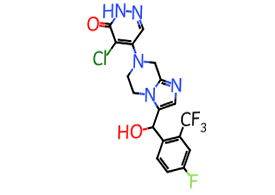 O=c1[nH]ncc(N2CCn3c(C(O)c4ccc(F)cc4C(F)(F)F)cnc3C2)c1Cl